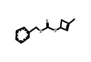 CC1=CC(SC(=S)SCc2ccccc2)C1